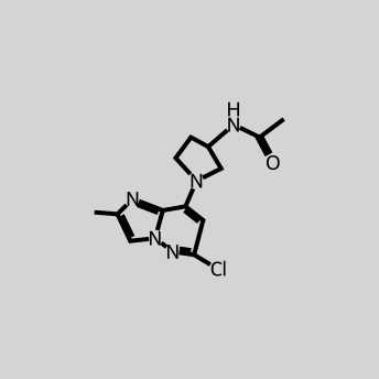 CC(=O)NC1CCN(c2cc(Cl)nn3cc(C)nc23)C1